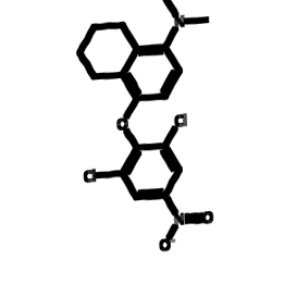 CN(C)c1ccc(Oc2c(Cl)cc([N+](=O)[O-])cc2Cl)c2c1CCCC2